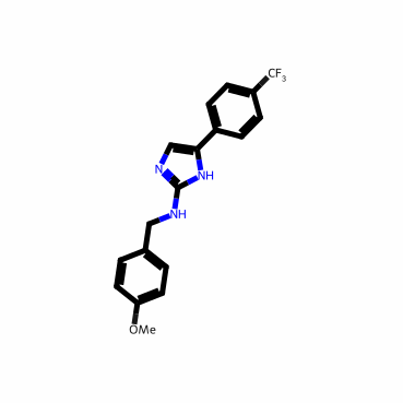 COc1ccc(CNc2ncc(-c3ccc(C(F)(F)F)cc3)[nH]2)cc1